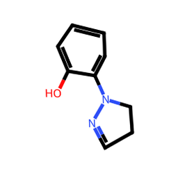 Oc1ccccc1N1CCC=N1